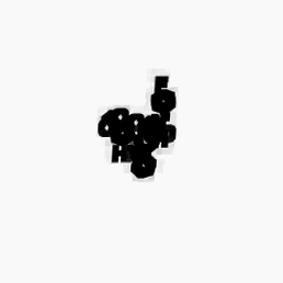 O=C1[C@H]2Cc3c([nH]c4ccccc34)[C@H](c3ccc4c(c3)OCCO4)N2C(=O)CN1Cc1ccc(F)cc1